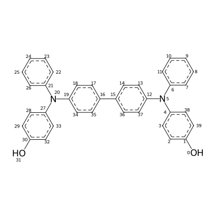 Oc1ccc(N(c2ccccc2)c2ccc(-c3ccc(N(c4ccccc4)c4ccc(O)cc4)cc3)cc2)cc1